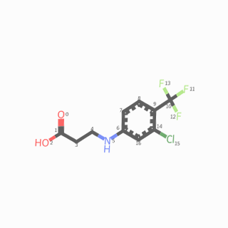 O=C(O)CCNc1ccc(C(F)(F)F)c(Cl)c1